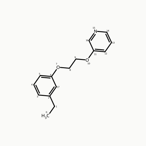 CCc1cccc(OCCOc2cccnc2)c1